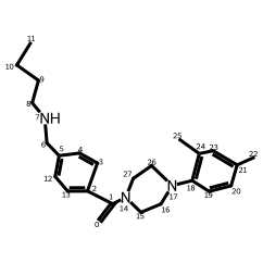 C=C(c1ccc(CNCCCC)cc1)N1CCN(c2ccc(C)cc2C)CC1